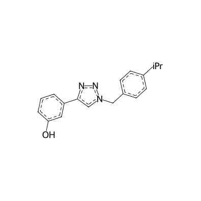 CC(C)c1ccc(Cn2cc(-c3cccc(O)c3)nn2)cc1